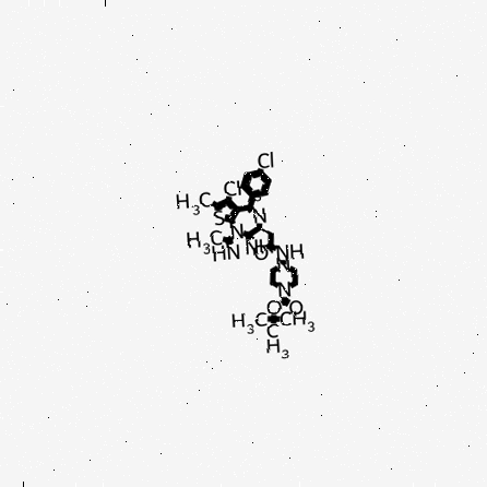 CC(=N)N1C(=N)[C@H](CC(=O)NN2CCN(C(=O)OC(C)(C)C)CC2)N=C(c2ccc(Cl)cc2)c2c1sc(C)c2C